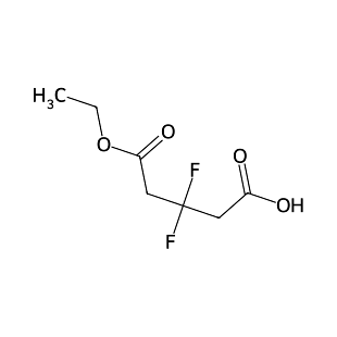 CCOC(=O)CC(F)(F)CC(=O)O